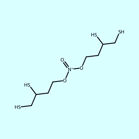 O=[N+](OCCC(S)CS)OCCC(S)CS